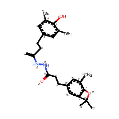 C=C(CCc1cc(C(C)(C)C)c(O)c(C(C)(C)C)c1)NNC(=O)CCc1cc(C(C)(C)C)c2c(c1)C(C)(C)O2